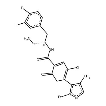 CCn1ncc(C)c1C1=C(Cl)C=C(C(=O)N[C@H](CN)Cc2ccc(F)c(F)c2)C(=S)C1